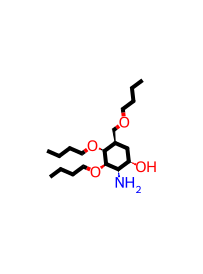 CCCCOC[C@H]1C[C@H](O)[C@H](N)[C@@H](OCCCC)[C@@H]1OCCCC